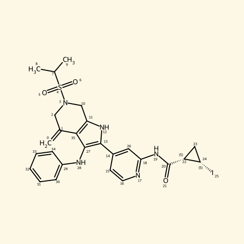 C=C1CN(S(=O)(=O)C(C)C)Cc2[nH]c(-c3ccnc(NC(=O)[C@@H]4C[C@@H]4I)c3)c(Nc3ccccc3)c21